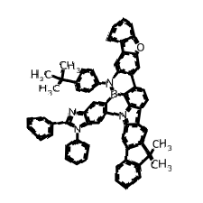 CC(C)(C)c1ccc(N2B3c4cc5nc(-c6ccccc6)n(-c6ccccc6)c5cc4-n4c5cc6c(cc5c5ccc(c3c54)-c3cc4oc5ccccc5c4cc32)C(C)(C)c2ccccc2-6)cc1